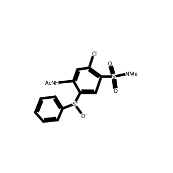 CNS(=O)(=O)c1cc([S+]([O-])c2ccccc2)c(NC(C)=O)cc1Cl